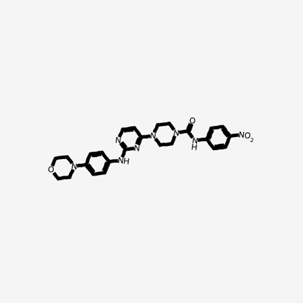 O=C(Nc1ccc([N+](=O)[O-])cc1)N1CCN(c2ccnc(Nc3ccc(N4CCOCC4)cc3)n2)CC1